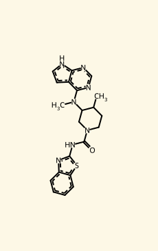 CC1CCN(C(=O)Nc2nc3ccccc3s2)CC1N(C)c1ncnc2[nH]ccc12